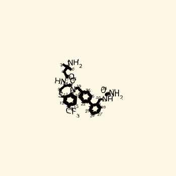 CC(C)(N)CC(=O)N[C@@H]1CSc2cc(C(F)(F)F)ccc2N(Cc2ccc(-c3ccccc3CNC(N)=O)cc2)C1=O